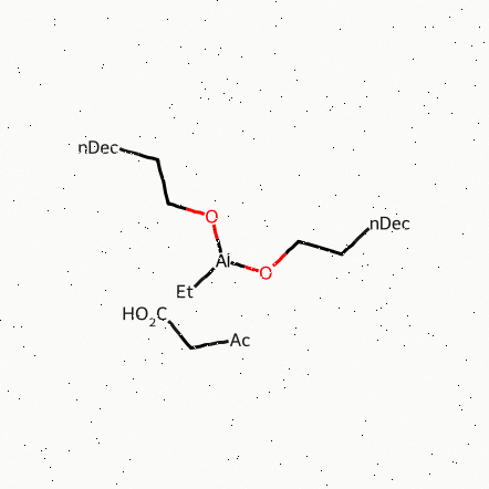 CC(=O)CC(=O)O.CCCCCCCCCCCC[O][Al]([CH2]C)[O]CCCCCCCCCCCC